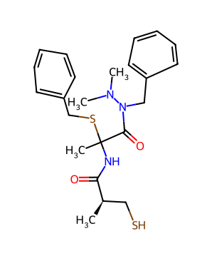 C[C@H](CS)C(=O)NC(C)(SCc1ccccc1)C(=O)N(Cc1ccccc1)N(C)C